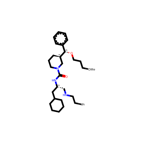 COCCCO[C@@H](c1ccccc1)[C@@H]1CCCN(C(=O)N[C@H](CNCCC(C)C)CC2CCCCC2)C1